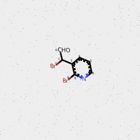 O=CC(Br)c1cccnc1Br